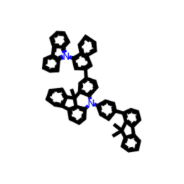 CC1(C)c2ccccc2-c2cccc(-c3ccc(N4c5ccc(-c6cc(-n7c8ccccc8c8ccccc87)c7ccccc7c6)cc5C5(C)c6ccccc6-c6cccc4c65)cc3)c21